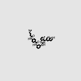 CN(C)C/C=C/C(=O)Nc1ccc(C(=O)Nc2cccc(Nc3nc(-c4cnc5[nH]ccc5c4)c4c(ccn4C)n3)c2)cc1